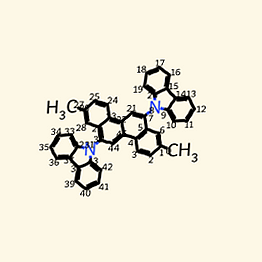 Cc1ccc2c(c1)c(-n1c3ccccc3c3ccccc31)cc1c3ccc(C)cc3c(-n3c4ccccc4c4ccccc43)cc21